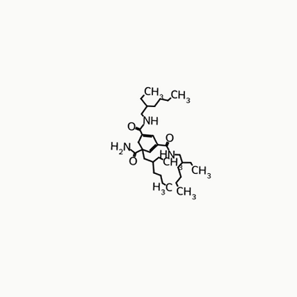 CCCCC(CC)CNC(=O)C1=CC(CC(CC)CCCC)(C(N)=O)CC(C(=O)NCC(CC)CCCC)=C1